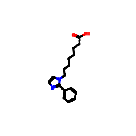 O=C(O)CCCCCCCn1ccnc1-c1ccccc1